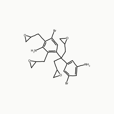 Nc1cc(Br)cc(C(CC2CO2)(CC2CO2)c2cc(Br)c(CC3CO3)c(N)c2CC2CO2)c1